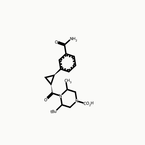 CC1CN(C(=O)O)CC(C(C)(C)C)N1C(=O)[C@@H]1C[C@H]1c1cccc(C(N)=O)c1